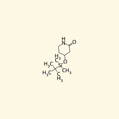 CC(C)(C)[Si](C)(C)OC1CCNC(=O)C1